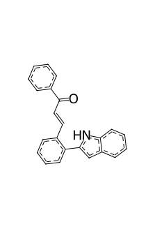 O=C(C=Cc1ccccc1-c1cc2ccccc2[nH]1)c1ccccc1